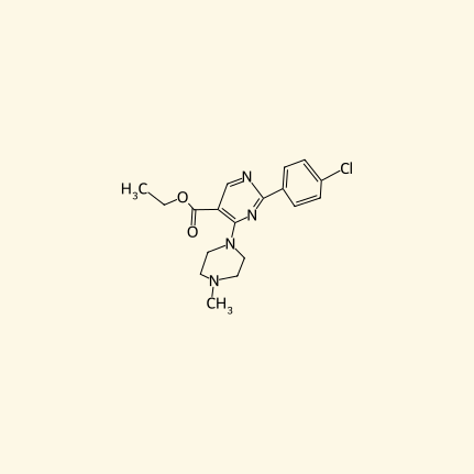 CCOC(=O)c1cnc(-c2ccc(Cl)cc2)nc1N1CCN(C)CC1